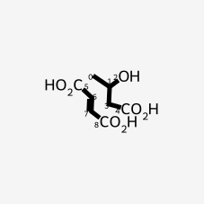 CC(O)CC(=O)O.O=C(O)/C=C/C(=O)O